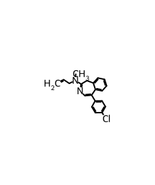 C=CCN(C)C1=NC=C(c2ccc(Cl)cc2)c2ccccc2C1